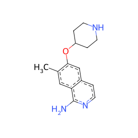 Cc1cc2c(N)nccc2cc1OC1CCNCC1